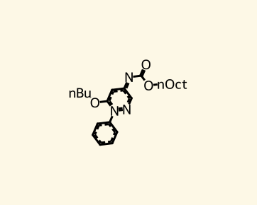 CCCCCCCCOC(=O)N=c1cnn(-c2ccccc2)c(OCCCC)c1